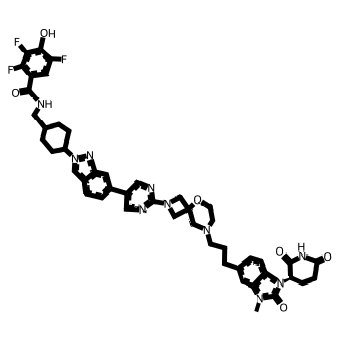 Cn1c(=O)n([C@@H]2CCC(=O)NC2=O)c2ccc(CCCN3CCOC4(C3)CN(c3ncc(-c5ccc6cn(C7CCC(CNC(=O)c8cc(F)c(O)c(F)c8F)CC7)nc6c5)cn3)C4)cc21